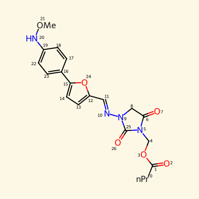 CCCC(=O)OCN1C(=O)CN(/N=C/c2ccc(-c3ccc(NOC)cc3)o2)C1=O